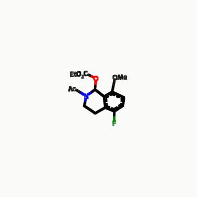 CCOC(=O)OC1c2c(OC)ccc(F)c2CCN1C(C)=O